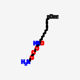 CCCCCCCCCCCCC#CC#CCCCCCCCCC(=O)NCCOCCOCCOCCN